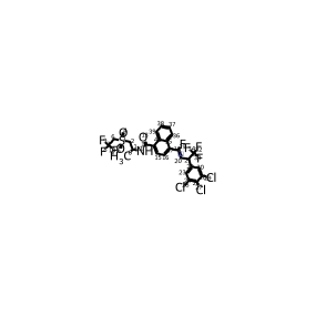 CC(CS(=O)(=O)CC(F)(F)F)NC(=O)c1ccc(/C(F)=C/C(c2cc(Cl)c(Cl)c(Cl)c2)C(F)(F)F)c2ccccc12